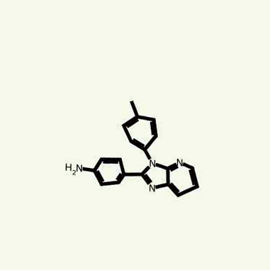 Cc1ccc(-n2c(-c3ccc(N)cc3)nc3cccnc32)cc1